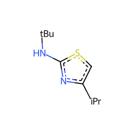 CC(C)c1csc(NC(C)(C)C)n1